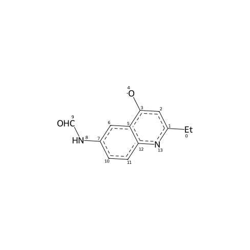 CCc1cc([O])c2cc(NC=O)ccc2n1